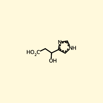 O=C(O)CC(O)c1c[nH]cn1